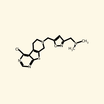 CN(C)Cc1cc(CN2CCc3c(sc4ncnc(Cl)c34)C2)on1